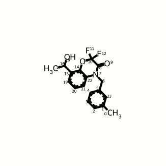 Cc1cccc(CN2C(=O)C(F)(F)Oc3c(C(C)O)cccc32)c1